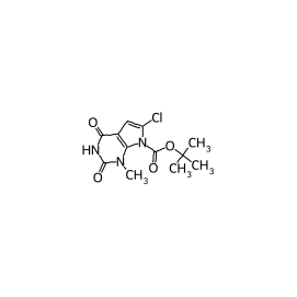 Cn1c(=O)[nH]c(=O)c2cc(Cl)n(C(=O)OC(C)(C)C)c21